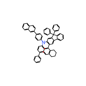 c1ccc(-c2ccc(N(c3ccc(-c4ccc5ccccc5c4)cc3)c3cc4c(cc3-c3cccc5c3CCCC5)-c3ccccc3C4(c3ccccc3)c3ccccc3)cc2)cc1